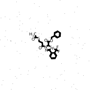 CC(=O)SCCC(=O)N1N=C(c2ccccc2C(F)(F)F)SC1C(=O)OCc1ccccc1